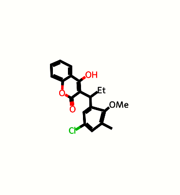 CCC(c1cc(Cl)cc(C)c1OC)c1c(O)c2ccccc2oc1=O